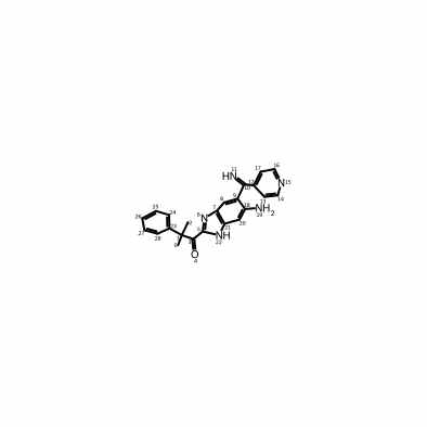 CC(C)(C(=O)c1nc2cc(C(=N)c3ccncc3)c(N)cc2[nH]1)c1ccccc1